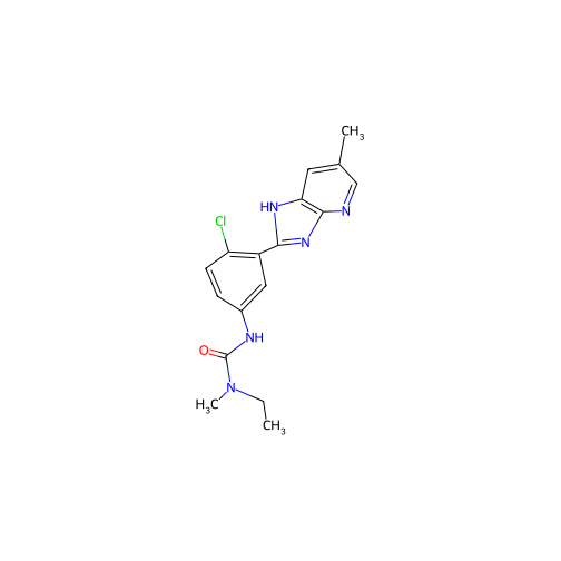 CCN(C)C(=O)Nc1ccc(Cl)c(-c2nc3ncc(C)cc3[nH]2)c1